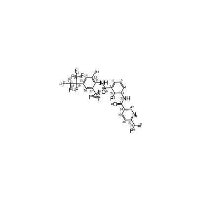 O=C(Nc1cccc(C(=O)Nc2c(I)cc(C(F)(C(F)(F)F)C(F)(F)F)cc2C(F)(F)F)c1F)c1ccc(C(F)F)nc1